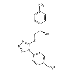 O=C(O)c1ccc(-n2nnnc2SC[C@H](O)c2ccc([N+](=O)[O-])cc2)cc1